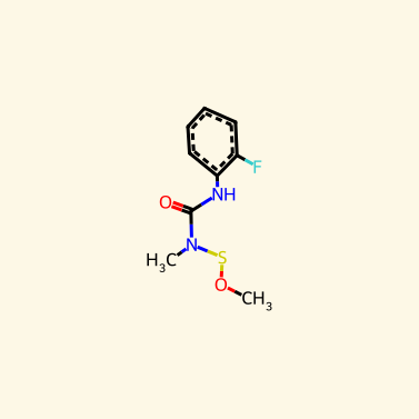 COSN(C)C(=O)Nc1ccccc1F